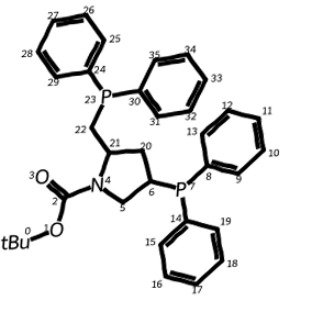 CC(C)(C)OC(=O)N1CC(P(c2ccccc2)c2ccccc2)CC1CP(c1ccccc1)c1ccccc1